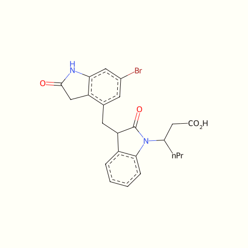 CCCC(CC(=O)O)N1C(=O)C(Cc2cc(Br)cc3c2CC(=O)N3)c2ccccc21